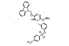 Cc1ccc(S(=O)(=O)Oc2cccc(C[C@H](NC(=O)OCC3c4ccccc4-c4ccccc43)C(=O)OC(C)(C)C)c2)cc1